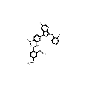 COc1ccc(CNc2nc(-c3nn(Cc4ccccc4F)c4ncc(F)cc34)ncc2[N+](=O)[O-])c(OC)c1